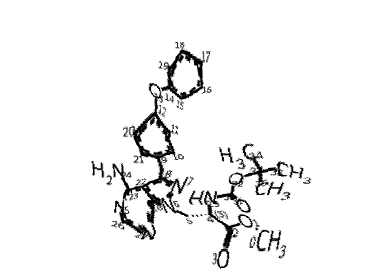 COC(=O)[C@H](Cn1nc(-c2ccc(Oc3ccccc3)cc2)c2c(N)ncnc21)NC(=O)OC(C)(C)C